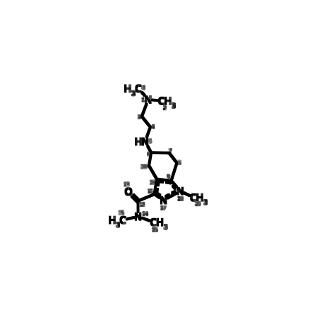 CN(C)CCNC1CCc2c(c(C(=O)N(C)C)nn2C)C1